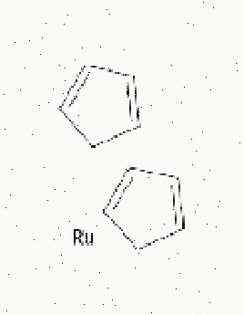 C1=CCC=C1.C1=CCC=C1.[Ru]